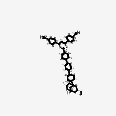 CC[C@@H]1C[C@@H]2C[C@H](C)CC(c3ccc(-c4ccc(-c5ccc(-c6nc(-c7ccc(C#N)cc7)cc(-c7ccc(C#N)cc7)n6)cc5)cc4)cc3)(C1)C2